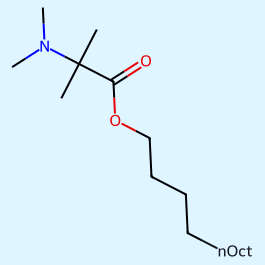 CCCCCCCCCCCCOC(=O)C(C)(C)N(C)C